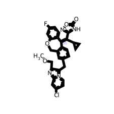 COCc1nc2cc(Cl)ccn2c1Cc1ccc2c(c1)COc1cc(F)ccc1/C2=C(\c1noc(=O)[nH]1)C1CC1